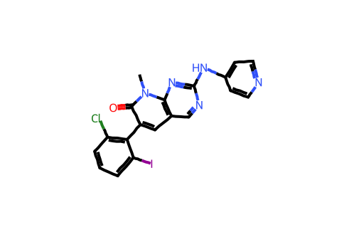 Cn1c(=O)c(-c2c(Cl)cccc2I)cc2cnc(Nc3ccncc3)nc21